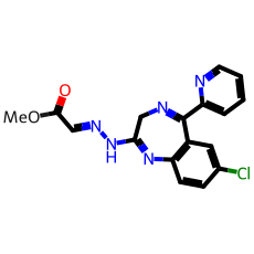 COC(=O)/C=N/NC1=Nc2ccc(Cl)cc2C(c2ccccn2)=NC1